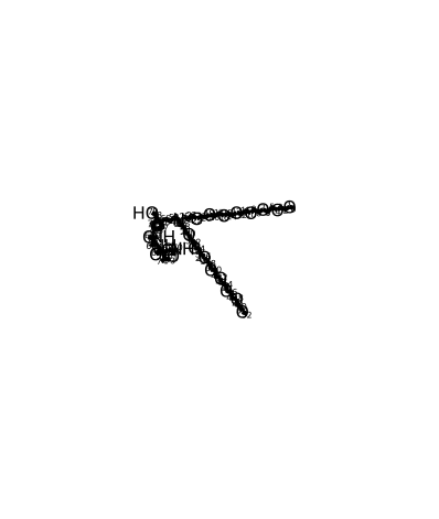 COCCOCCOCCOCCOCCOCCOCCOCCCN(CCCOCCOCCOCCOCCOCCOCCOCCOC)CCCc1cc(NC(=O)C(C)NC(=O)C(OC(N)=O)C(C)C)ccc1CO